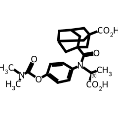 C[C@@H](C(=O)O)N(C(=O)C12CC3CC(CC(C(=O)O)(C3)C1)C2)c1ccc(OC(=O)N(C)C)cc1